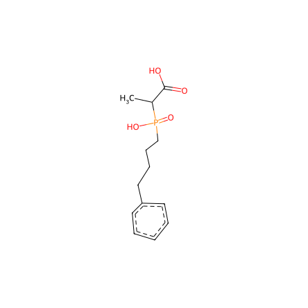 CC(C(=O)O)P(=O)(O)CCCCc1ccccc1